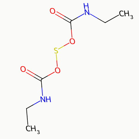 CCNC(=O)OSOC(=O)NCC